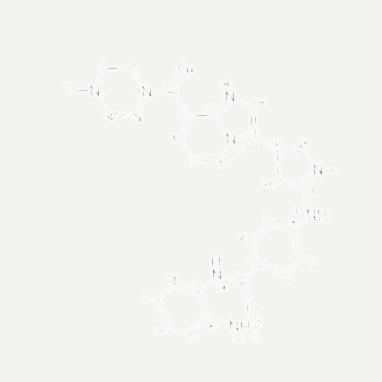 CN1CCN(C(=O)c2cccn3c(-c4cnc(Nc5ccc(C(=O)Nc6ccccc6N)cc5)s4)cnc23)CC1